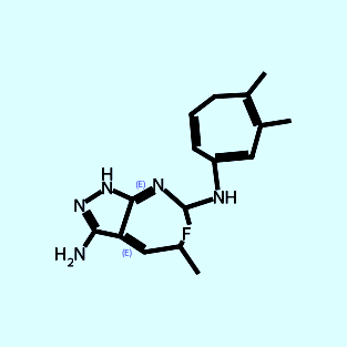 CC1=C(C)CC=CC(NC(C)/N=C2/NN=C(N)/C2=C/C(C)F)=C1